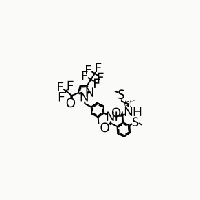 CSC[C@H](C)NC(=O)c1c(SC)cccc1C(=O)Nc1ccc(Cn2nc(C(F)(F)C(F)(F)F)cc2C(=O)C(F)(F)F)cc1C